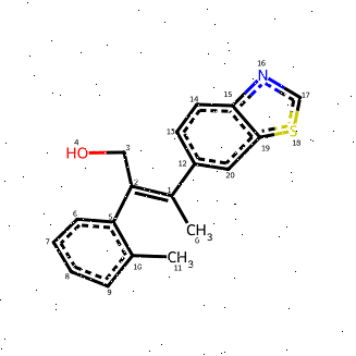 C/C(=C(/CO)c1ccccc1C)c1ccc2ncsc2c1